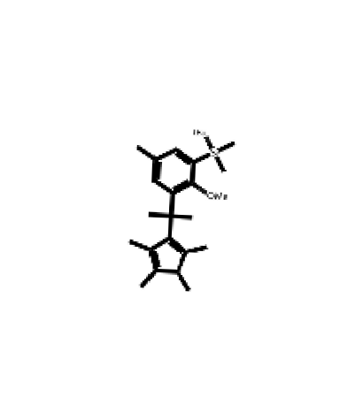 COc1c(C(C)(C)C2=C(C)C(C)C(C)=C2C)cc(C)cc1[Si](C)(C)C(C)(C)C